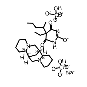 C1CCN2C[C@@H]3C[C@@H](CN4CCCC[C@@H]34)[C@H]2C1.CCCC(C)C1(CC)C(=O)N=C([O-])NC1=O.[Na+].[O-][Cl+3]([O-])([O-])O.[O-][Cl+3]([O-])([O-])O